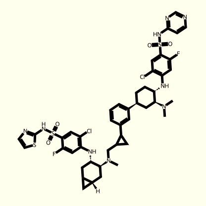 CN(C)[C@H]1C[C@@H](c2cccc(C3CC3CN(C)[C@H]3C[C@@H]4CC4C[C@@H]3Nc3cc(F)c(S(=O)(=O)Nc4nccs4)cc3Cl)c2)CC[C@@H]1Nc1cc(F)c(S(=O)(=O)Nc2ccncn2)cc1Cl